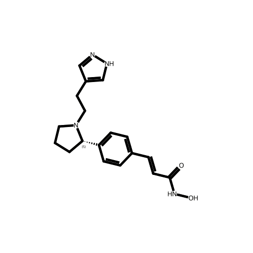 O=C(C=Cc1ccc([C@@H]2CCCN2CCc2cn[nH]c2)cc1)NO